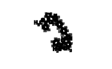 CO[C@@H](C(=O)N1CCCC1c1ncc(-c2ccc(-c3ccc(-c4cnc([C@@H]5CCCN5C(=O)[C@@H](c5ccccc5Cl)N(C)C)[nH]4)cc3)cc2)[nH]1)c1ccccc1